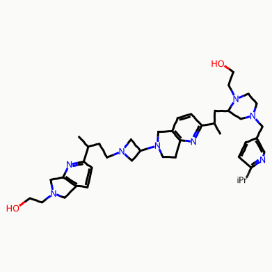 CC(C)c1ccc(CN2CCN(CCO)C(CC(C)c3ccc4c(n3)CCN(C3CN(CCC(C)c5ccc6c(n5)CN(CCO)C6)C3)C4)C2)cn1